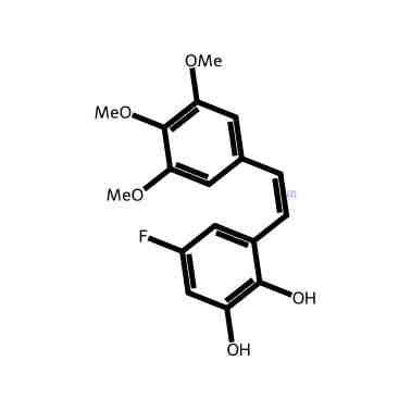 COc1cc(/C=C\c2cc(F)cc(O)c2O)cc(OC)c1OC